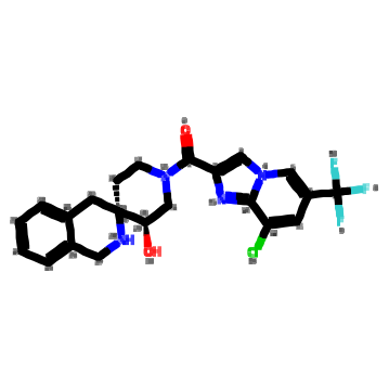 O=C(c1cn2cc(C(F)(F)F)cc(Cl)c2n1)N1CC[C@]2(Cc3ccccc3CN2)[C@H](O)C1